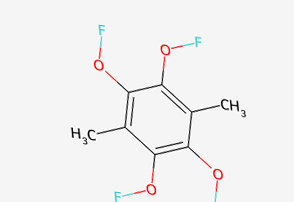 Cc1c(OF)c(OF)c(C)c(OF)c1OF